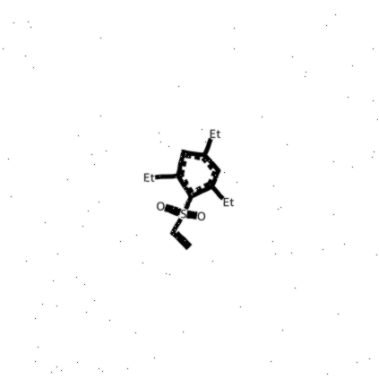 C=CS(=O)(=O)c1c(CC)cc(CC)cc1CC